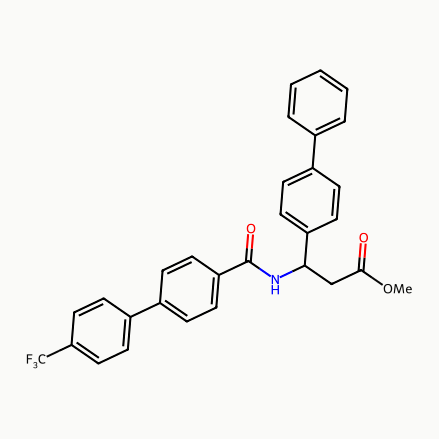 COC(=O)CC(NC(=O)c1ccc(-c2ccc(C(F)(F)F)cc2)cc1)c1ccc(-c2ccccc2)cc1